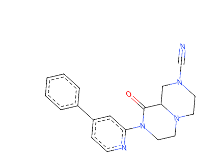 N#CN1CCN2CCN(c3cc(-c4ccccc4)ccn3)C(=O)C2C1